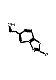 OCc1ccc2sc(Cl)nc2c1